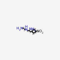 NCCNC[C@@H](N)Cc1ccc([N+](=O)[O-])cc1